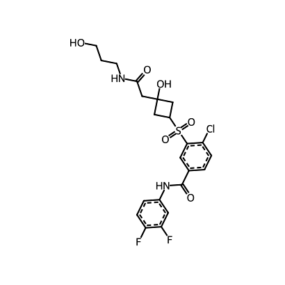 O=C(CC1(O)CC(S(=O)(=O)c2cc(C(=O)Nc3ccc(F)c(F)c3)ccc2Cl)C1)NCCCO